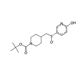 CC(C)(C)OC(=O)N1CCC(C[S+]([O-])c2ccc(O)nc2)CC1